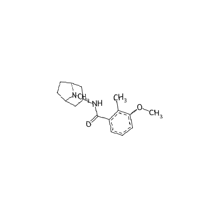 COc1cccc(C(=O)NC2CC3CCC(C2)N3C)c1C